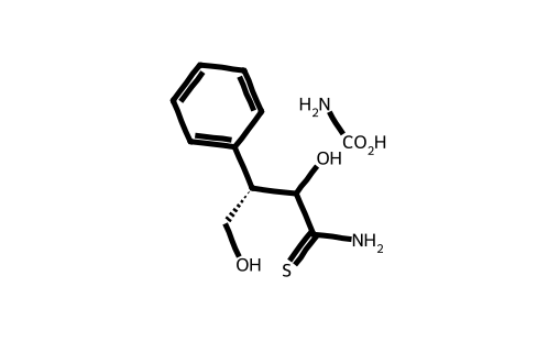 NC(=O)O.NC(=S)C(O)[C@H](CO)c1ccccc1